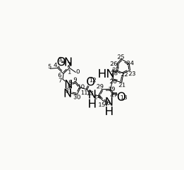 Cc1noc(C)c1Cn1cc(C(=O)Nc2c[nH]c(=O)c(-c3cc4ccccc4[nH]3)c2)cn1